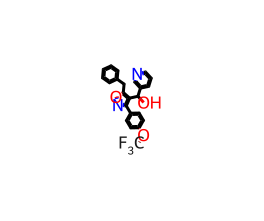 OC(c1cccnc1)c1c(-c2ccc(OC(F)(F)F)cc2)noc1Cc1ccccc1